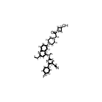 CCc1cc(N(C)c2nc(-c3ccc(F)cc3)c(C#N)s2)c2cc(N3CCN(CC(=O)N4CC(O)C4)CC3)ccc2n1